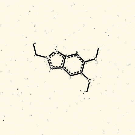 CCn1nc2cc(OC)c(OC)cc2n1